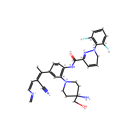 C=N/C=C\C(C#N)=C(/C)c1ccc(NC(=O)C2=NN(c3c(F)cccc3F)CC=C2)c(N2CCC(N)(CO)CC2)c1